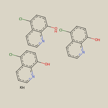 Oc1ccc(Cl)c2cccnc12.Oc1ccc(Cl)c2cccnc12.Oc1ccc(Cl)c2cccnc12.[KH]